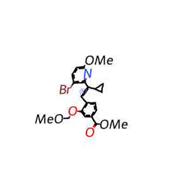 COCOc1cc(C(=O)OC)ccc1/C=C(/c1nc(OC)ccc1Br)C1CC1